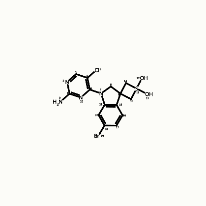 Nc1ncc(Cl)c(N2CC3(CS(O)(O)C3)c3ccc(Br)cc32)n1